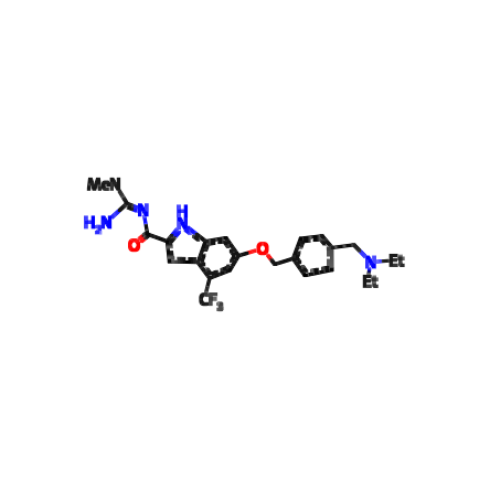 CCN(CC)Cc1ccc(COc2cc(C(F)(F)F)c3cc(C(=O)N=C(N)NC)[nH]c3c2)cc1